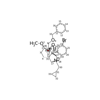 CO[C@]12CC[C@@]3(C[C@@H]1COCc1ccccc1)C1Cc4ccc(Br)c5c4[C@@]3(CCN1CC1CC1)[C@H]2O5